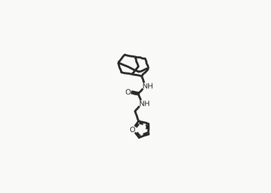 O=C(NCc1ccco1)NC1C2CC3CC(C2)CC1C3